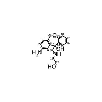 Nc1ccc2c(c1)C(O)(CNCCO)c1ccccc1OC2